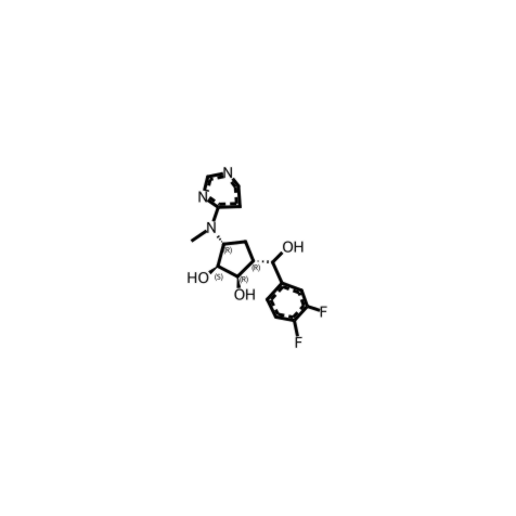 CN(c1ccncn1)[C@@H]1C[C@H](C(O)c2ccc(F)c(F)c2)[C@@H](O)[C@H]1O